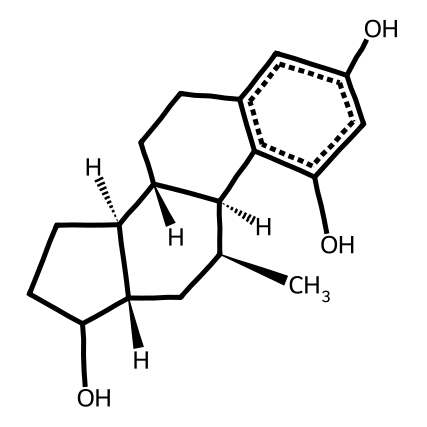 C[C@H]1C[C@@H]2C(O)CC[C@H]2[C@@H]2CCc3cc(O)cc(O)c3[C@H]21